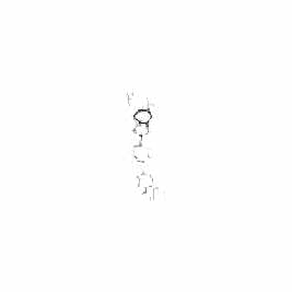 CCC[C@H]1CC[C@H](C2CCC(C3Cc4cc(F)c(F)cc4C3)CC2)CC1